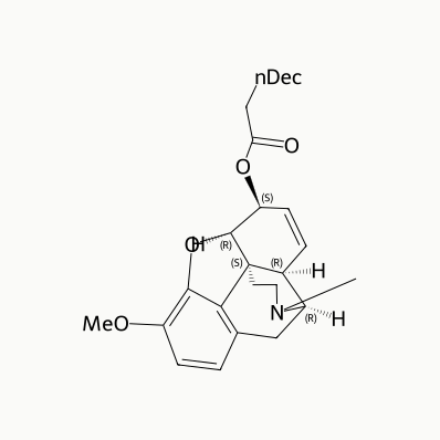 CCCCCCCCCCCC(=O)O[C@H]1C=C[C@H]2[C@H]3Cc4ccc(OC)c5c4[C@@]2(CCN3C)[C@H]1O5